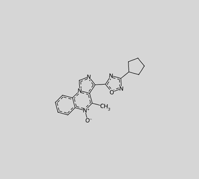 Cc1c2c(-c3nc(C4CCCC4)no3)ncn2c2ccccc2[n+]1[O-]